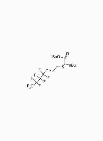 CCCCC(SCCCC(F)(F)C(F)(F)C(F)(F)C(F)(F)F)C(=O)OCC(C)C